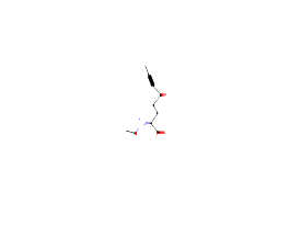 CC#CC(=O)CCC(NC(C)=O)C(=O)O